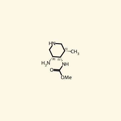 COC(=O)N[C@@H]1[C@H](N)CNC[C@@H]1C